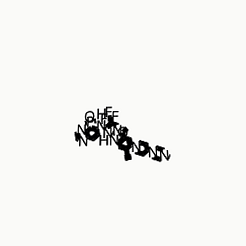 C#Cc1cc(Nc2ncc(C(F)(F)F)c(Nc3ccc4nccnc4c3P(C)(C)=O)n2)c(OC)cc1N1CCC(N2CCN(C)CC2)CC1